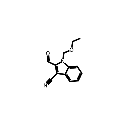 CCOCn1c(C=O)c(C#N)c2ccccc21